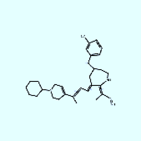 C/C(N=N)=C1/NCCC(Nc2cccc(C#N)c2)C/C1=C\C=C(/C)C1=CCN(C2CCCCC2)CC1